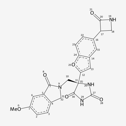 COc1ccc2c(c1)C(=O)N(C[C@@]1(c3cc4cc(C5CNC5=O)ccc4o3)NC(=O)NC1=O)C2